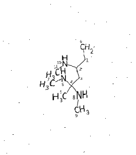 [CH2]CC(CC(C)(NC)NC)NC